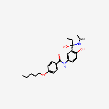 CCCCCOc1ccc(C(=O)Nc2ccc(O)c(C(O)(CC)NC(C)C)c2)cc1